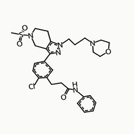 CS(=O)(=O)N1CCc2c(c(-c3ccc(Cl)c(CCC(=O)Nc4ccccc4)c3)nn2CCCN2CCOCC2)C1